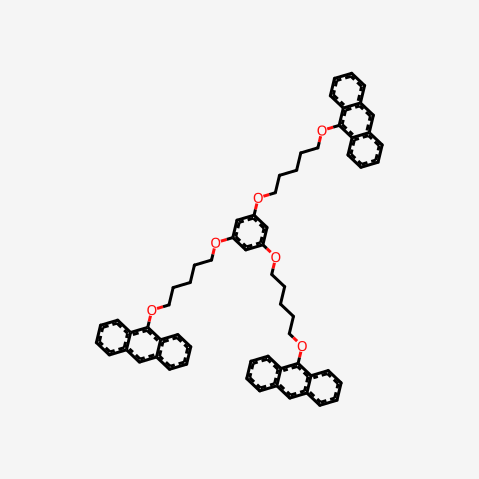 c1ccc2c(OCCCCCOc3cc(OCCCCCOc4c5ccccc5cc5ccccc45)cc(OCCCCCOc4c5ccccc5cc5ccccc45)c3)c3ccccc3cc2c1